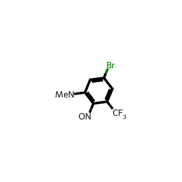 CNc1cc(Br)cc(C(F)(F)F)c1N=O